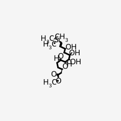 COC(=O)C[C@H]1CC[C@@H]2O[C@@H]([C@@H](O)/C=C/[Si](C)(C)C)[C@@H](O)[C@@H](O)[C@H]2O1